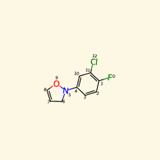 Fc1ccc(N2CC=CO2)cc1Cl